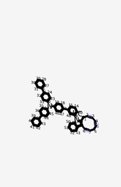 C=C1/C=C\C=C/C/C=C\c2c1n(-c1cccc(-c3ccc(N(c4ccc(-c5ccccc5)cc4)c4ccc(-c5ccccc5)cc4)cc3)c1)c1ccccc21